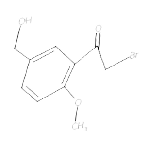 COc1ccc(CO)cc1C(=O)CBr